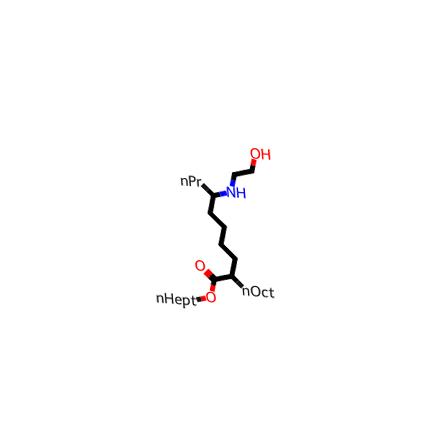 CCCCCCCCC(CCCCC(CCC)NCCO)C(=O)OCCCCCCC